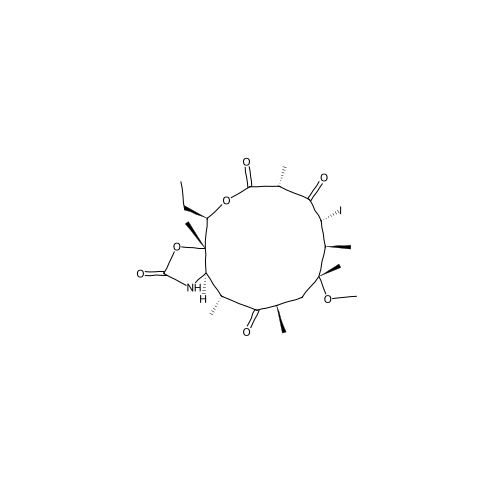 CC[C@H]1OC(=O)[C@H](C)C(=O)[C@H](I)[C@@H](C)[C@](C)(OC)C[C@@H](C)C(=O)[C@H](C)[C@H]2NC(=O)O[C@@]21C